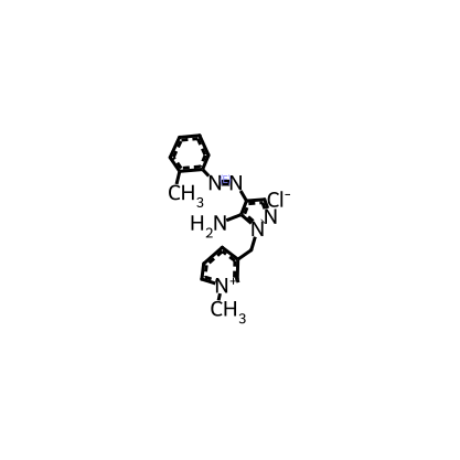 Cc1ccccc1/N=N/c1cnn(Cc2ccc[n+](C)c2)c1N.[Cl-]